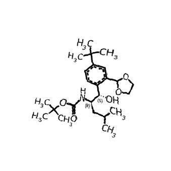 CC(C)C[C@@H](NC(=O)OC(C)(C)C)[C@@H](O)c1ccc(C(C)(C)C)cc1C1OCCO1